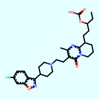 CCC(CCC1CCCn2c1nc(C)c(CCN1CCC(c3noc4cc(F)ccc34)CC1)c2=O)OC(=O)O